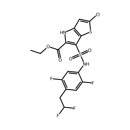 CCOC(=O)c1[nH]c2cc(Cl)sc2c1S(=O)(=O)Nc1cc(F)c(CC(F)F)cc1F